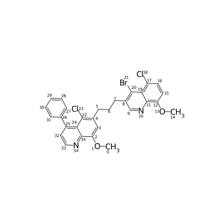 COc1cc(CCCc2cnc3c(OC)ccc(Cl)c3c2Br)c(Cl)c2c(-c3ccccc3)ccnc12